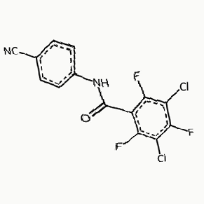 N#Cc1ccc(NC(=O)c2c(F)c(Cl)c(F)c(Cl)c2F)cc1